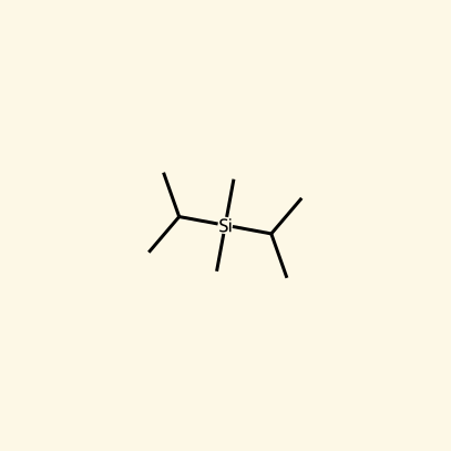 CC(C)[Si](C)(C)C(C)C